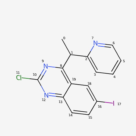 CC(c1ccccn1)c1nc(Cl)nc2ccc(I)cc12